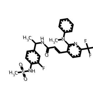 CC(NC(=O)C=Cc1ccc(C(F)(F)F)nc1N(C)c1ccccc1)c1ccc(NS(C)(=O)=O)c(F)c1